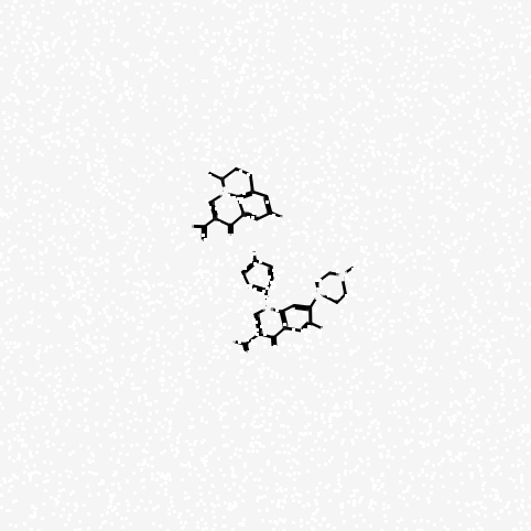 CC1CCc2cc(F)cc3c(=O)c(C(=O)O)cn1c23.CN1CCN(c2cc3c(cc2F)c(=O)c(C(=O)O)cn3-c2ccc(F)cc2)CC1